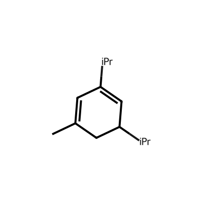 CC1=CC(C(C)C)=CC(C(C)C)C1